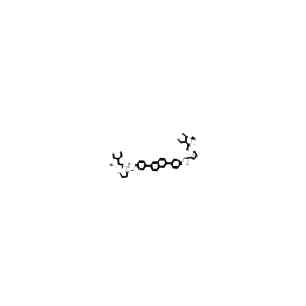 O=C(O)NC(C(=O)N1CCCC1c1nc2cc(-c3ccc4cc(-c5ccc6[nH]c([C@@H]7CCCN7C(=O)[C@@H](NC(=O)O)C7CCOCC7)nc6c5)ccc4c3)ccc2[nH]1)C1CCOCC1